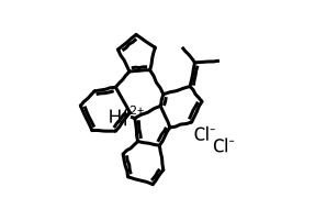 CC(C)=c1ccc2c(c1C1=C(c3ccccc3)C=CC1)[C]([Hf+2])=c1ccccc1=2.[Cl-].[Cl-]